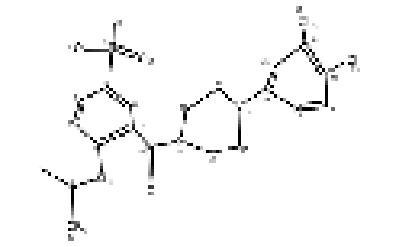 CC(Oc1ccc(S(C)(=O)=O)cc1C(=O)N1CCN(c2ccc(Cl)c(C(F)(F)F)c2)CC1)C(F)(F)F